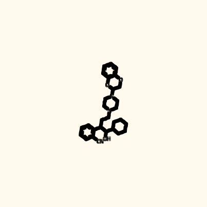 N#Cc1ccccc1C(CCN1CCN(C2COc3ccccc3O2)CC1)C(O)C1CCCCC1